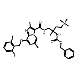 Cc1cc(OCc2c(F)cccc2F)c2nc(C)c(C(=O)NCC(C)(CC[Si](C)(C)C)NC(=O)OCc3ccccc3)n2c1